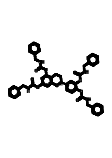 O=C(NCc1ccccc1)Oc1cc(OC(=O)NCc2ccccc2)c2c(c1)O[C@H](c1ccc(OC(=O)NCc3ccccc3)c(OC(=O)NCc3ccccc3)c1)CC2